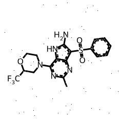 Cc1nc(N2CCOC(C(F)(F)F)C2)c2[nH]c(N)c(S(=O)(=O)c3ccccc3)c2n1